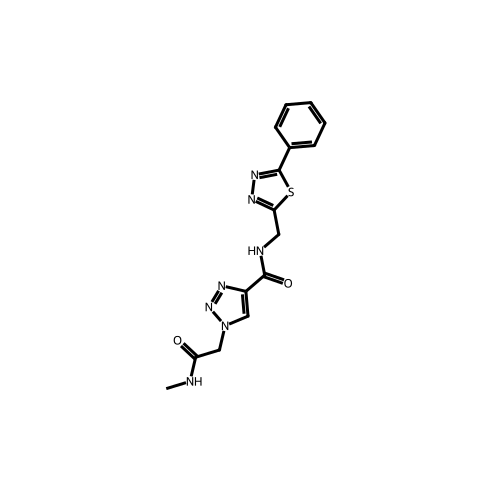 CNC(=O)Cn1cc(C(=O)NCc2nnc(-c3ccccc3)s2)nn1